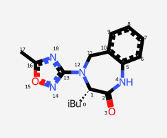 CCC(C)[C@H]1C(=O)Nc2ccccc2CN1c1noc(C)n1